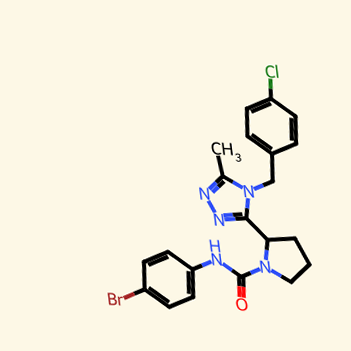 Cc1nnc(C2CCCN2C(=O)Nc2ccc(Br)cc2)n1Cc1ccc(Cl)cc1